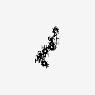 O=C(NCCN1CCOCC1)c1cc2c(Nc3ccc(NC(=O)C4(C(=O)Nc5ccc(F)cc5)CC4)cc3)ccnc2[nH]1